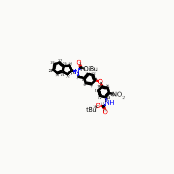 CC(C)COC(=O)N(Cc1ccc(Oc2ccc(NC(=O)OC(C)(C)C)c([N+](=O)[O-])c2)cc1)C1Cc2ccccc2C1